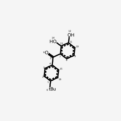 CC(C)(C)c1ccc(C(=O)c2cccc(O)c2O)cc1